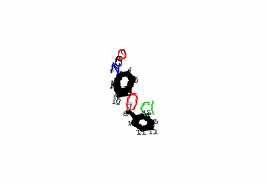 O=C=Nc1ccc(OCc2ccccc2Cl)cc1